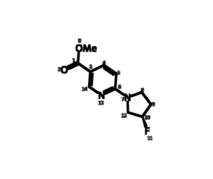 COC(=O)c1ccc(N2CC[C@@H](F)C2)nc1